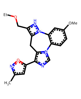 CCOCc1[nH]n2c1Cc1c(-c3cc(C)no3)ncn1-c1ccc(OC)cc1-2